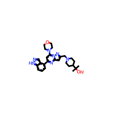 CC(C)(O)C1CCN(Cc2cc3nc(-c4cccc5[nH]ncc45)cc(N4CCOCC4)n3n2)CC1